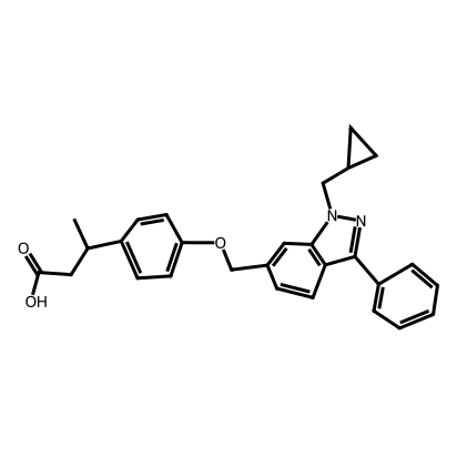 CC(CC(=O)O)c1ccc(OCc2ccc3c(-c4ccccc4)nn(CC4CC4)c3c2)cc1